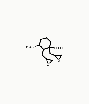 O=C(O)C1CCCC(CC2CO2)(C(=O)O)C1CC1CO1